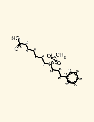 CS(=O)(=O)N(CCCCCCC(=O)O)CCCc1ccccc1